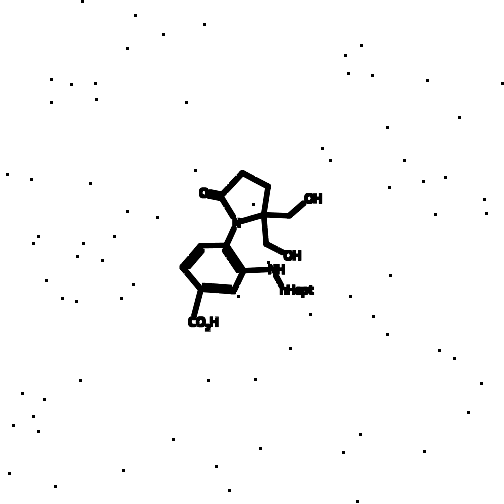 CCCCCCCNc1cc(C(=O)O)ccc1N1C(=O)CCC1(CO)CO